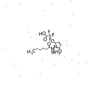 CCCCCC(=O)N(N)N1C(=O)C=CC1=O.O=C(O)C(F)(F)F